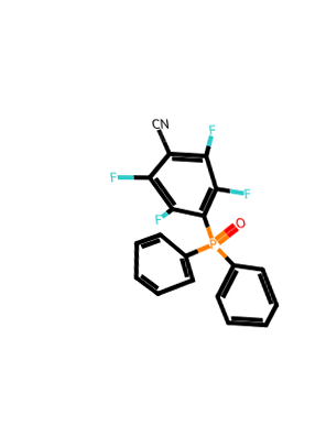 N#Cc1c(F)c(F)c(P(=O)(c2ccccc2)c2ccccc2)c(F)c1F